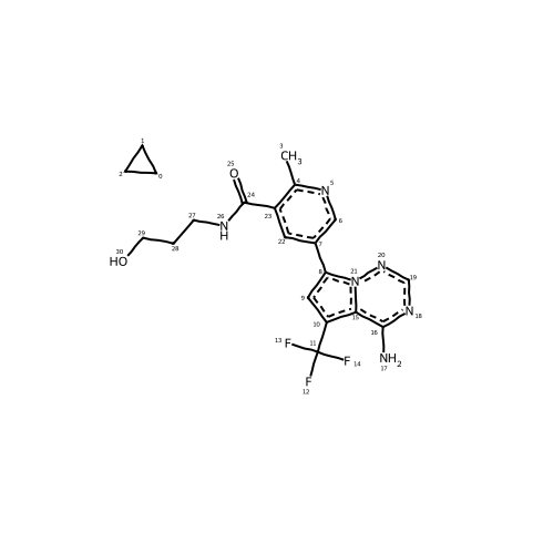 C1CC1.Cc1ncc(-c2cc(C(F)(F)F)c3c(N)ncnn23)cc1C(=O)NCCCO